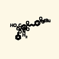 CC(C)(C)OC(=O)N1CCC(CCCC(=O)N(C[C@H](NC(=O)OCc2ccccc2)C(=O)O)C(=O)CN)CC1